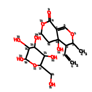 C=CC1C(C)OC=C2C(=O)OCCC21O.OCC1OC(O)C(O)C(O)C1O